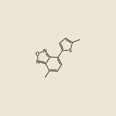 Cc1ccc(-c2ccc(C)c3nonc23)s1